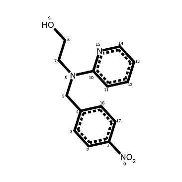 O=[N+]([O-])c1ccc(CN(CCO)c2ccccn2)cc1